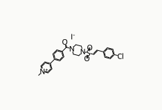 C[n+]1ccc(-c2ccc(C(=O)N3CCN(S(=O)(=O)C=Cc4ccc(Cl)cc4)CC3)cc2)cc1.[I-]